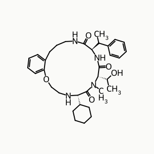 CC(O)[C@H]1C(=O)N[C@H](C(C)c2ccccc2)C(=O)NCCCc2ccccc2OCCN[C@@H](C2CCCCC2)C(=O)N1C